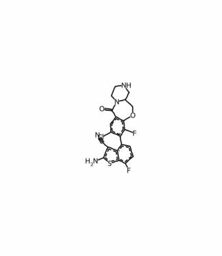 N#Cc1c(N)sc2c(F)ccc(-c3c(Cl)cc4c(c3F)OCC3CNCCN3C4=O)c12